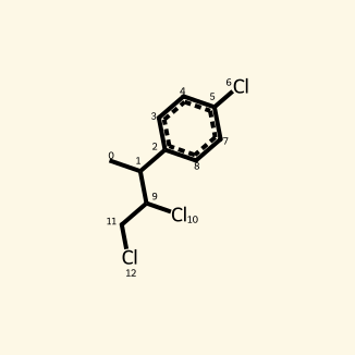 CC(c1ccc(Cl)cc1)C(Cl)CCl